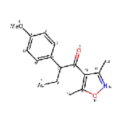 COc1ccc(C(CC(C)=O)C(=O)c2c(C)noc2C)cc1